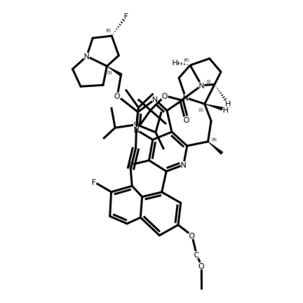 COCOc1cc(-c2nc3c4c(nc(OC[C@@]56CCCN5C[C@H](F)C6)nc4c2F)N2C[C@H]4CC[C@@H]([C@@H]2C[C@H]3C)N4C(=O)OC(C)(C)C)c2c(C#C[Si](C(C)C)(C(C)C)C(C)C)c(F)ccc2c1